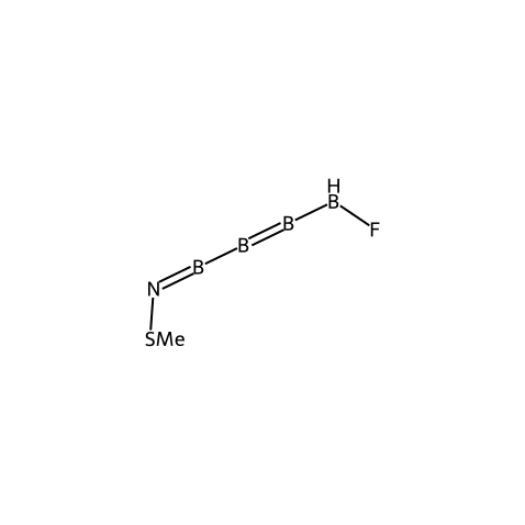 CSN=BB=BBF